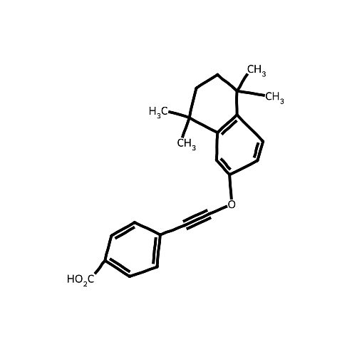 CC1(C)CCC(C)(C)c2cc(OC#Cc3ccc(C(=O)O)cc3)ccc21